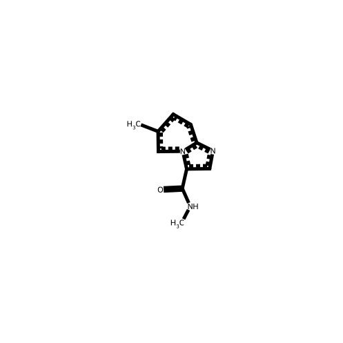 CNC(=O)c1cnc2ccc(C)cn12